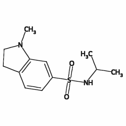 CC(C)NS(=O)(=O)c1ccc2c(c1)N(C)CC2